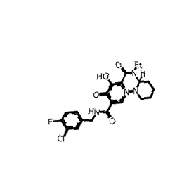 CCN1C(=O)c2c(O)c(=O)c(C(=O)NCc3ccc(F)c(Cl)c3)cn2N2CCCC[C@@H]12